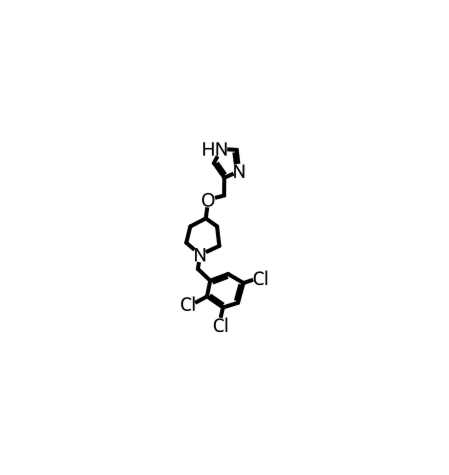 Clc1cc(Cl)c(Cl)c(CN2CCC(OCc3c[nH]cn3)CC2)c1